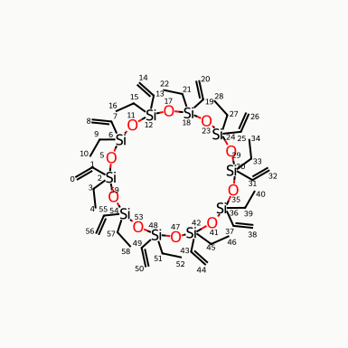 C=C[Si]1(CC)O[Si](C=C)(CC)O[Si](C=C)(CC)O[Si](C=C)(CC)O[Si](C=C)(CC)O[Si](C=C)(CC)O[Si](C=C)(CC)O[Si](C=C)(CC)O[Si](C=C)(CC)O[Si](C=C)(CC)O1